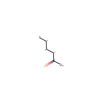 [Li][C](=O)CCCC